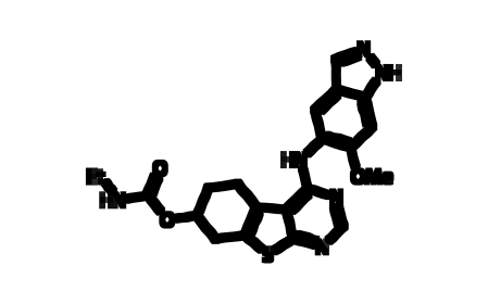 CCNC(=O)OC1CCc2c(sc3ncnc(Nc4cc5cn[nH]c5cc4OC)c23)C1